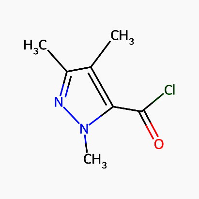 Cc1nn(C)c(C(=O)Cl)c1C